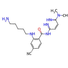 CN(C)C(=N)/C=C\C(=N)NC(=O)c1ccc(C#N)cc1NCCCCCN